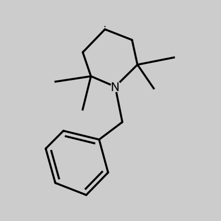 CC1(C)C[CH]CC(C)(C)N1Cc1ccccc1